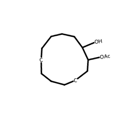 CC(=O)OC1CCCCCCCCCCC1O